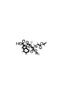 CCOC(=O)CSC[C@@H](N[C@@H](C)C(=O)N1C2CCCCC2C[C@H]1C(=O)O)C(=O)OCC